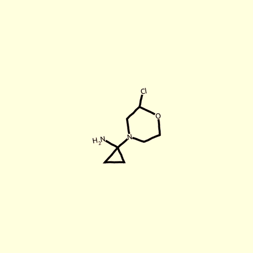 NC1(N2CCOC(Cl)C2)CC1